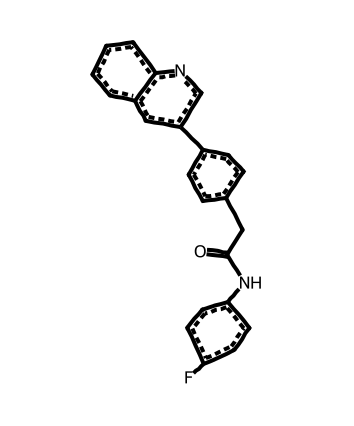 O=C(Cc1ccc(-c2cnc3ccccc3c2)cc1)Nc1ccc(F)cc1